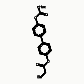 CCCCCCC(=O)Oc1ccc(-c2ccc(OC(=O)CC(C)CC)cc2)cc1